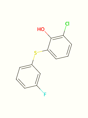 Oc1c(Cl)cccc1Sc1cccc(F)c1